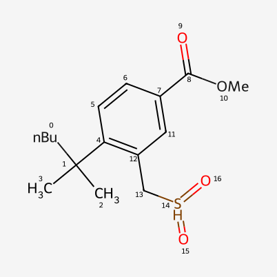 CCCCC(C)(C)c1ccc(C(=O)OC)cc1C[SH](=O)=O